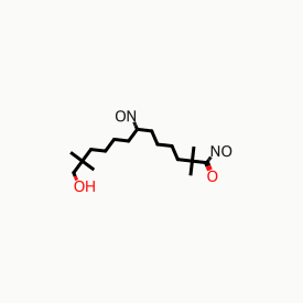 CC(C)(CO)CCCCC(CCCCC(C)(C)C(=O)N=O)N=O